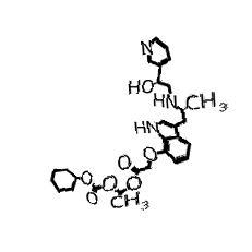 CC(OC(=O)COc1cccc2c(C[C@@H](C)NC[C@H](O)c3cccnc3)c[nH]c12)OC(=O)OC1CCCCC1